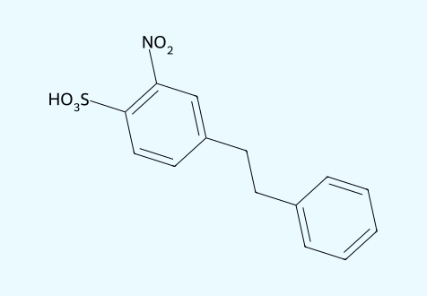 O=[N+]([O-])c1cc(CCc2ccccc2)ccc1S(=O)(=O)O